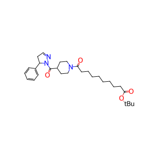 CC(C)(C)OC(=O)CCCCCCCCC(=O)N1CCC(C(=O)N2N=CCC2c2ccccc2)CC1